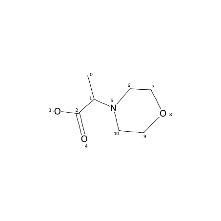 CC(C([O])=O)N1CCOCC1